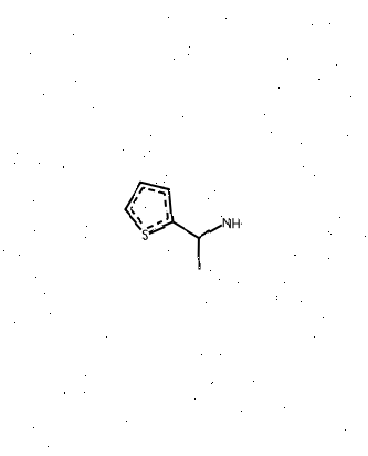 CC([NH])c1cccs1